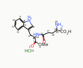 COC(=O)[C@@H](Cc1c[nH]c2ccccc12)NC(=O)CC[C@@H](N)C(=O)O.Cl